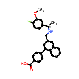 COc1cc([C@@H](C)NCc2cc(-c3ccc(C(=O)O)cc3)c3ccccc3c2)ccc1F